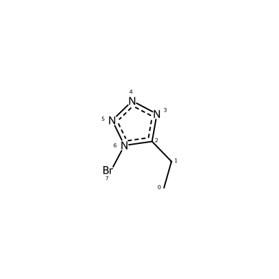 CCc1nnnn1Br